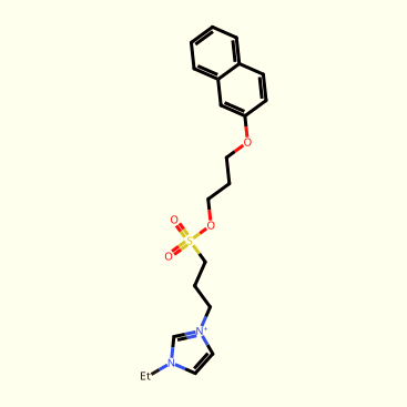 CCn1cc[n+](CCCS(=O)(=O)OCCCOc2ccc3ccccc3c2)c1